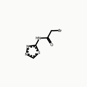 O=C(CBr)Nc1nncs1